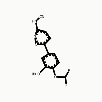 CC(C)COc1cc(-c2ccc(NC#N)nn2)ccc1OC(F)F